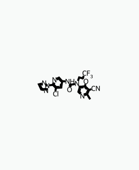 Cc1ncc2c(c1C#N)OC(C(F)(F)F)CN2C(=O)Nc1cnc(-n2nccn2)c(Cl)c1